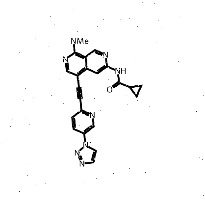 CNc1ncc(C#Cc2ccc(-n3ccnn3)cn2)c2cc(NC(=O)C3CC3)ncc12